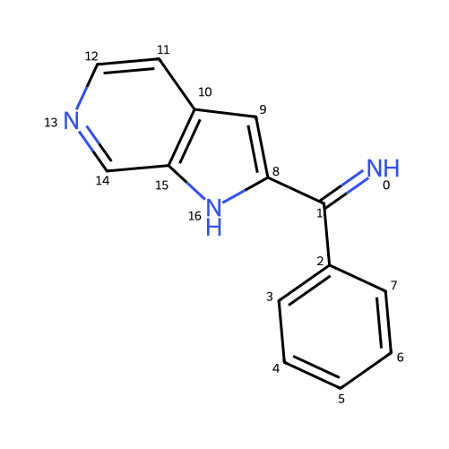 N=C(c1ccccc1)c1cc2ccncc2[nH]1